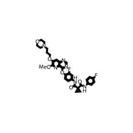 COc1nc2c(Oc3ccc(NC(=O)C4(C(=O)Nc5ccc(F)cc5)CC4)cc3F)ncnc2cc1OCCCN1CCOCC1